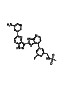 CS(=O)(=O)NCc1cc(F)cc(-c2ccnc3[nH]c(-c4n[nH]c5ccc(-c6cncc(N)c6)nc45)nc23)c1